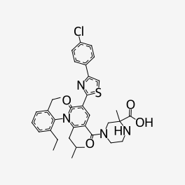 CCc1cccc(CC)c1-n1c(CC(C)C)c(C(=O)N2CCNC(C)(C(=O)O)C2)cc(-c2nc(-c3ccc(Cl)cc3)cs2)c1=O